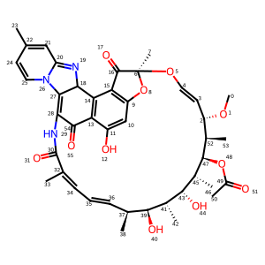 CO[C@H]1/C=C/O[C@@]2(C)Oc3cc(O)c4c(c3C2=O)C2N=C3C=C(C)C=CN3C2=C(NC(=O)/C(C)=C\C=C\[C@H](C)[C@H](O)[C@@H](C)[C@@H](O)[C@@H](C)[C@H](OC(C)=O)[C@@H]1C)C4=O